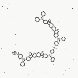 CC(C)(C)c1ccc(N(c2ccccc2)c2ccc3c(c2)oc2cc4cc5sc6cc(N(c7ccccc7)c7ccc(C(C)(C)c8ccc(N(c9ccccc9)c9ccc%10c(c9)sc9cc%11cc%12oc%13cc(N(c%14ccccc%14)c%14ccccc%14)ccc%13c%12cc%11cc9%10)cc8)cc7)ccc6c5cc4cc23)cc1